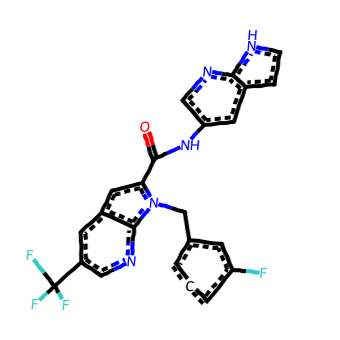 O=C(Nc1cnc2[nH]ccc2c1)c1cc2cc(C(F)(F)F)cnc2n1Cc1cccc(F)c1